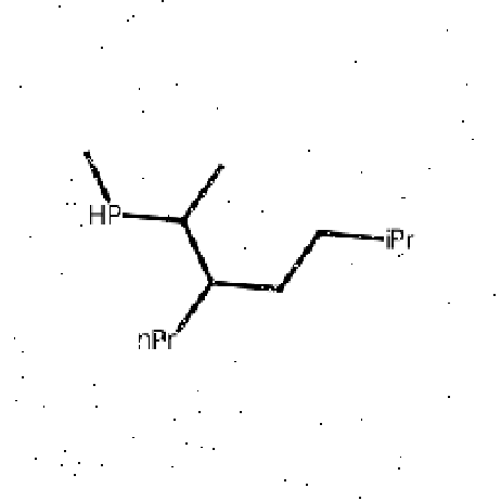 CCCC(CCC(C)C)C(C)PC